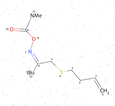 C=CCCSCC(=NOC(=O)NC)C(C)(C)C